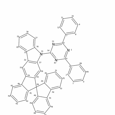 c1ccc(-c2nc(-c3ccccc3)nc(-n3c4ccccc4c4cc5c(cc43)C3(c4ccccc4-c4ccccc43)c3ccccc3-5)n2)cc1